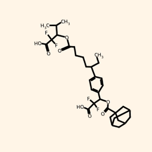 CCC(CCCCC(=O)OC(C(C)C)C(F)(F)C(=O)O)c1ccc(C(OC(=O)C23CC4CC(CC(C4)C2)C3)C(F)(F)C(=O)O)cc1